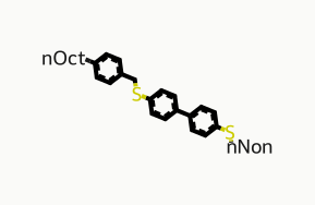 CCCCCCCCCSc1ccc(-c2ccc(SCc3ccc(CCCCCCCC)cc3)cc2)cc1